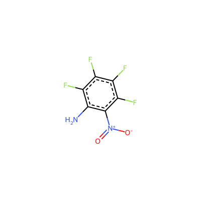 Nc1c(F)c(F)c(F)c(F)c1[N+](=O)[O-]